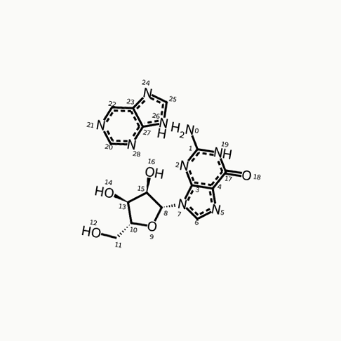 Nc1nc2c(ncn2[C@@H]2O[C@H](CO)[C@@H](O)[C@H]2O)c(=O)[nH]1.c1ncc2nc[nH]c2n1